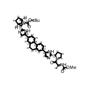 COC(=O)N[C@@H](C)C(=O)N1CCC[C@H]1c1ncc(-c2ccc3c(c2)CCc2cc(-c4cnc([C@@H]5[C@H]6CC[C@H](C6)N5C(=O)OC(C)(C)C)[nH]4)ccc2-3)[nH]1